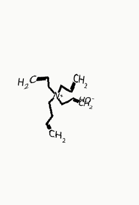 C=CCC[N+](CC=C)(CC=C)CC=C.[OH-]